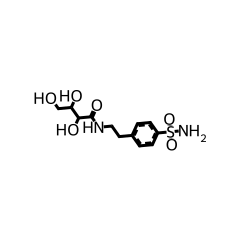 NS(=O)(=O)c1ccc(CCNC(=O)C(O)C(O)CO)cc1